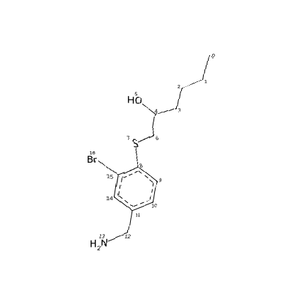 CCCCC(O)CSc1ccc(CN)cc1Br